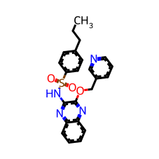 CCCc1ccc(S(=O)(=O)Nc2nc3ccccc3nc2OCc2cccnc2)cc1